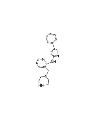 c1cncc(-c2cnc(Nc3ncccc3CN3CCNCC3)s2)c1